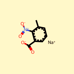 Cc1cccc(C(=O)[O-])c1[N+](=O)[O-].[Na+]